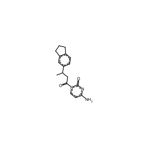 CC(CC(=O)n1ccc(N)nc1=O)c1ccc2c(c1)CCC2